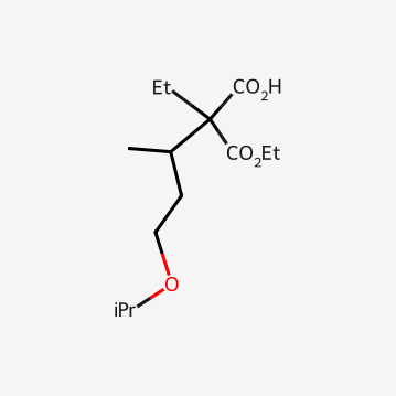 CCOC(=O)C(CC)(C(=O)O)C(C)CCOC(C)C